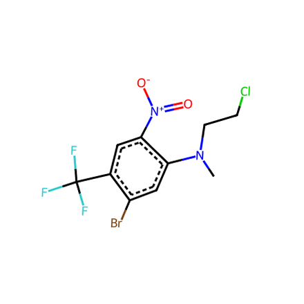 CN(CCCl)c1cc(Br)c(C(F)(F)F)cc1[N+](=O)[O-]